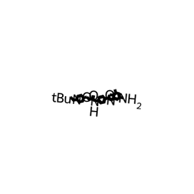 Cc1cc(N)cc2nc(-c3ccc(NC(=O)COC4CCN(CCC(C)(C)C)CC4)cc3)oc12